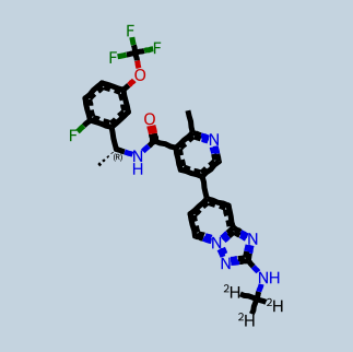 [2H]C([2H])([2H])Nc1nc2cc(-c3cnc(C)c(C(=O)N[C@H](C)c4cc(OC(F)(F)F)ccc4F)c3)ccn2n1